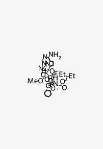 CCC(CC)COC(=O)[C@H](C)NP(=O)(OC[C@@]1(F)O[C@@](C#N)(c2ccc3c(N)ncnn23)[C@@H]2OC(OC)O[C@@H]21)Oc1ccccc1